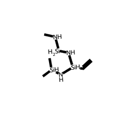 C=C[SiH](N[SiH2]NC)N[SiH](C)C